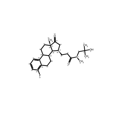 CN(CC(C)(C)O)C(=O)CC[C@@H]1CC(=O)[C@@]2(C)CCC3c4cccc(F)c4CCC3C12